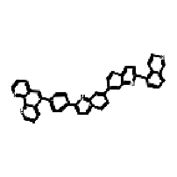 c1cc(-c2ccc3ccc(-c4ccc5ccc(-c6ccc(-c7cc8cccnc8c8ncccc78)cc6)nc5c4)cc3n2)c2ccncc2c1